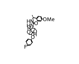 COc1ccc([C@H](C)NC(=O)N[C@H]2CO[C@H]3[C@@H]2OC[C@@H]3Oc2ccc(F)cc2)cc1